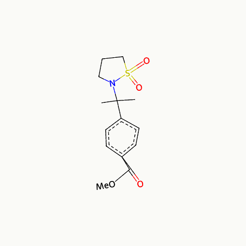 COC(=O)c1ccc(C(C)(C)N2CCCS2(=O)=O)cc1